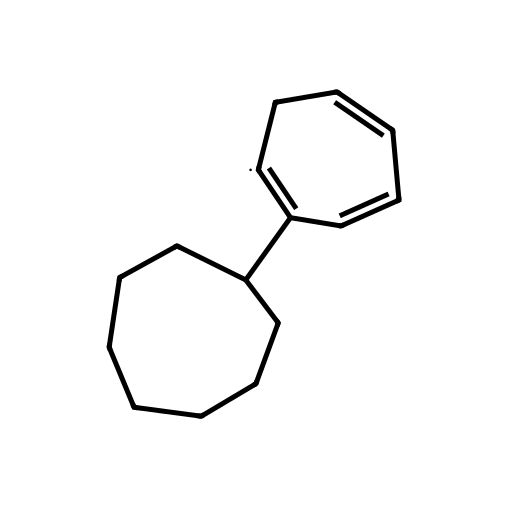 [C]1=C(C2CCCCCCC2)C=CC=CC1